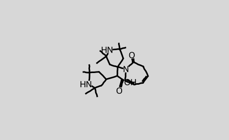 CC1(C)CC(C(C(=O)O)C2(N3C=CC=CCC3=O)CC(C)(C)NC(C)(C)C2)CC(C)(C)N1